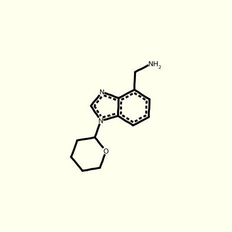 NCc1cccc2c1ncn2C1CCCCO1